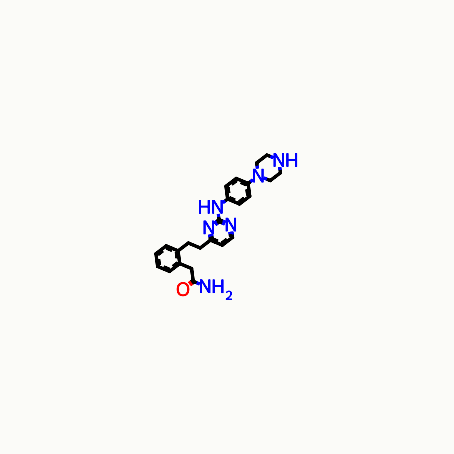 NC(=O)Cc1ccccc1CCc1ccnc(Nc2ccc(N3CCNCC3)cc2)n1